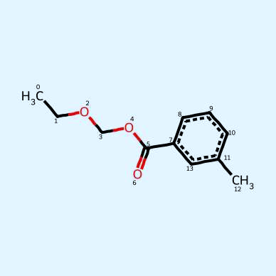 CCOCOC(=O)c1cccc(C)c1